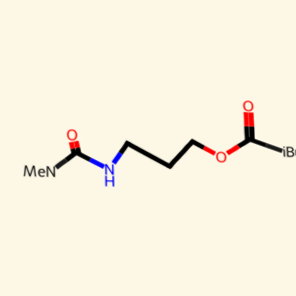 CCC(C)C(=O)OCCCNC(=O)NC